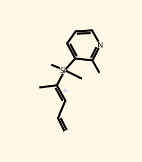 C=C/C=C(\C)[Si](C)(C)c1cccnc1C